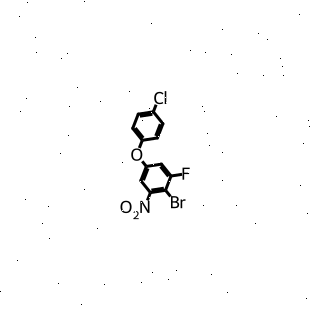 O=[N+]([O-])c1cc(Oc2ccc(Cl)cc2)cc(F)c1Br